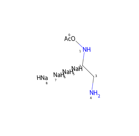 CC(=O)ONCCN.[NaH].[NaH].[NaH].[NaH]